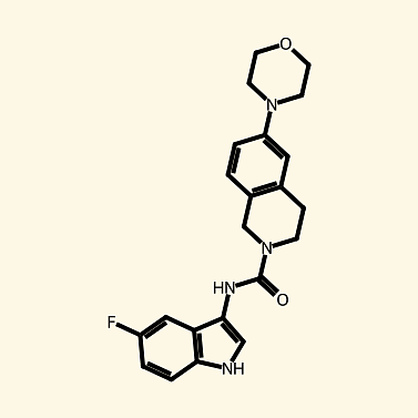 O=C(Nc1c[nH]c2ccc(F)cc12)N1CCc2cc(N3CCOCC3)ccc2C1